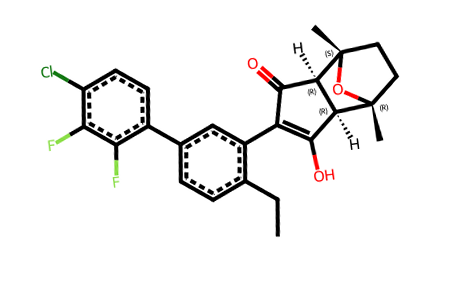 CCc1ccc(-c2ccc(Cl)c(F)c2F)cc1C1=C(O)[C@H]2[C@@H](C1=O)[C@]1(C)CC[C@@]2(C)O1